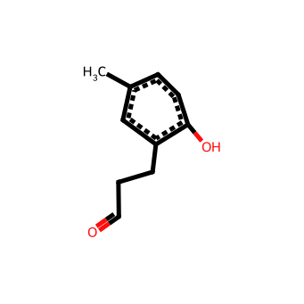 Cc1ccc(O)c(CCC=O)c1